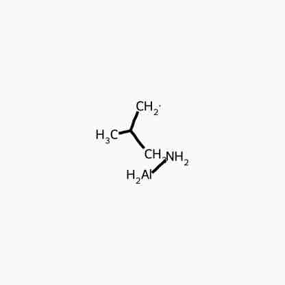 [CH2]C(C)C.[NH2][AlH2]